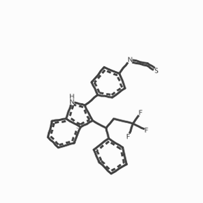 FC(F)(F)CC(c1ccccc1)c1c(-c2ccc(N=C=S)cc2)[nH]c2ccccc12